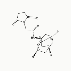 O=C(CN1C(=O)CCC1=O)N[C@@]12C[C@@H]3C[C@@H](C[C@H](C3)O1)C2